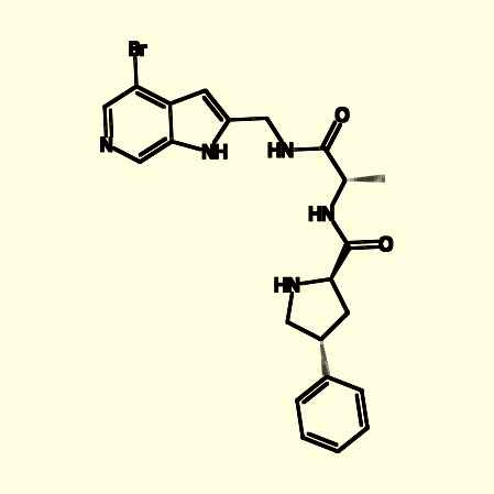 C[C@H](NC(=O)[C@H]1C[C@H](c2ccccc2)CN1)C(=O)NCc1cc2c(Br)cncc2[nH]1